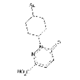 CC(=O)N1CCC(n2nc(C(=O)O)ccc2=O)CC1